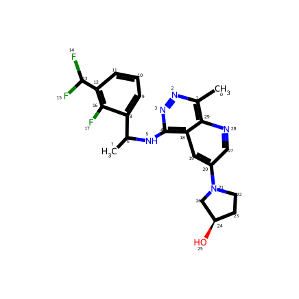 Cc1nnc(NC(C)c2cccc(C(F)F)c2F)c2cc(N3CC[C@@H](O)C3)cnc12